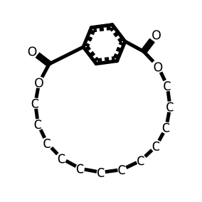 O=C1OCCCCCCCCCCCCOC(=O)c2ccc1cc2